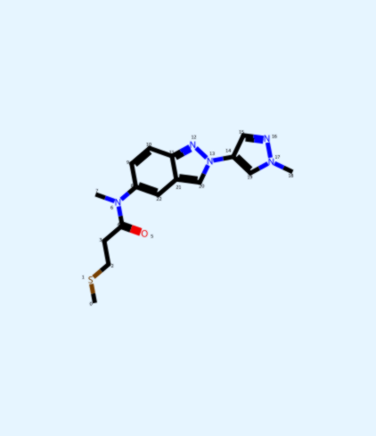 CSCCC(=O)N(C)c1ccc2nn(-c3cnn(C)c3)cc2c1